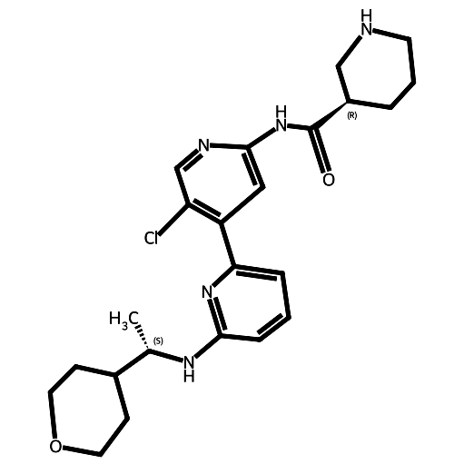 C[C@H](Nc1cccc(-c2cc(NC(=O)[C@@H]3CCCNC3)ncc2Cl)n1)C1CCOCC1